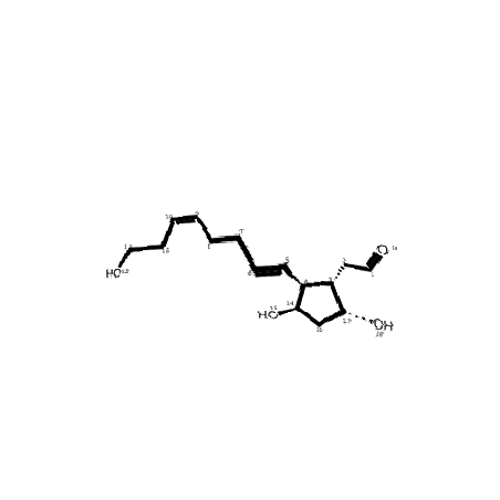 O=CC[C@H]1[C@H](/C=C/CC/C=C\CCO)[C@H](O)C[C@H]1O